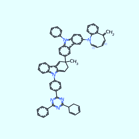 C=C1/C=C\C=C/N(c2ccc3c(c2)c2cc(C4(C)C=c5c(n(-c6ccc(-c7nc(-c8ccccc8)nc(C8C=CC=CC8)n7)cc6)c6ccccc56)=CC4)ccc2n3-c2ccccc2)c2ccccc21